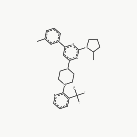 Cc1cccc(-c2cc(N3CCN(c4ncccc4C(F)(F)F)CC3)nc(N3CCCC3C)n2)c1